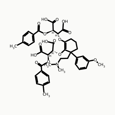 COc1cccc(C2(CCN(C)C)CCCC(O[C@@H](C(=O)O)[C@@H](OC(=O)c3ccc(C)cc3)C(=O)O)=C2O[C@@H](C(=O)O)[C@@H](OC(=O)c2ccc(C)cc2)C(=O)O)c1